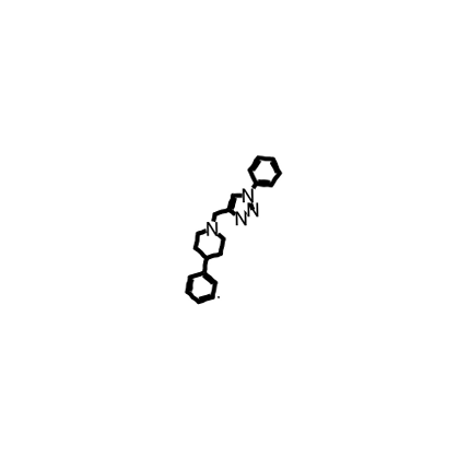 [c]1cccc(C2CCN(Cc3cn(-c4ccccc4)nn3)CC2)c1